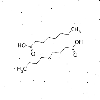 CCCCCCCC(=O)O.CCCCCCCCC(=O)O